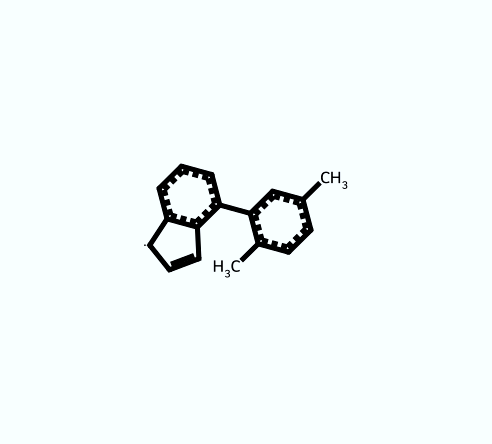 Cc1ccc(C)c(-c2cccc3c2C=C[CH]3)c1